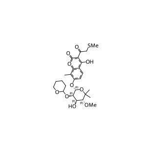 CO[C@@H]1[C@@H](O)[C@@H](OC2CCCCO2)[C@H](Oc2ccc3c(O)c(C(=O)CSC)c(=O)oc3c2C)OC1(C)C